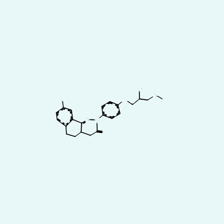 CC(C)NCC(O)COc1ccc(N2N=C3c4cc(F)ccc4CCC3CC2=O)cc1